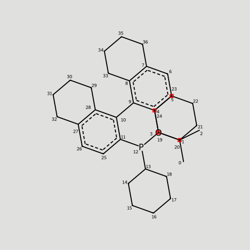 CC(C)Oc1ccc2c(c1-c1c(P(C3CCCCC3)C3CCCCC3)ccc3c1CCCC3)CCCC2